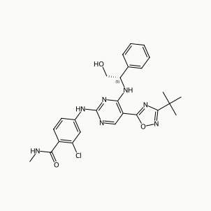 CNC(=O)c1ccc(Nc2ncc(-c3nc(C(C)(C)C)no3)c(N[C@H](CO)c3ccccc3)n2)cc1Cl